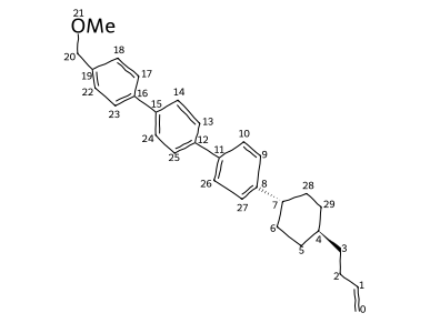 C=CCC[C@H]1CC[C@H](c2ccc(-c3ccc(-c4ccc(COC)cc4)cc3)cc2)CC1